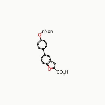 CCCCCCCCCOc1ccc(-c2ccc3oc(C(=O)O)cc3c2)cc1